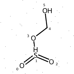 O=[SH](=O)OCO